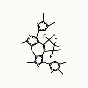 Cc1cc(-c2sc(C)c(C)c2C2=C(c3c(-c4cc(C)c(C)s4)sc(C)c3C)C(F)(F)C(F)(F)C2(F)F)sc1C